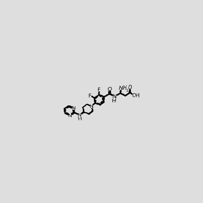 NC(CC(=O)O)NC(=O)c1ccc(N2CCC(Nc3ncccn3)CC2)c(F)c1F